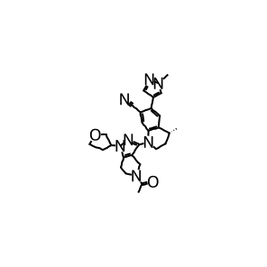 CC(=O)N1CCc2c(c(N3CC[C@@H](C)c4cc(-c5cnn(C)c5)c(C#N)cc43)nn2C2CCOC2)C1